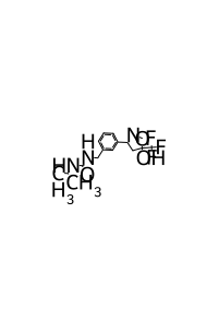 CC(C)NC(=O)NCc1cccc(C2=NOC(O)(C(F)(F)F)C2)c1